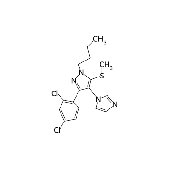 CCCCn1nc(-c2ccc(Cl)cc2Cl)c(-n2ccnc2)c1SC